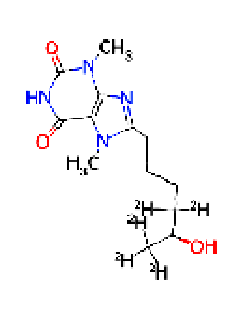 [2H]C([2H])([2H])[C@H](O)C([2H])([2H])CCCc1nc2c(c(=O)[nH]c(=O)n2C)n1C